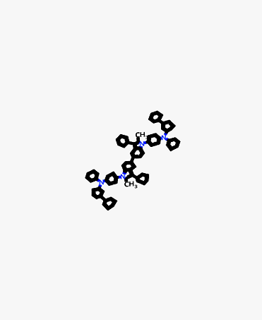 Cc1c(-c2ccccc2)c2cc(-c3ccc4c(c3)c(-c3ccccc3)c(C)n4-c3ccc(N(c4ccccc4)c4cccc(-c5ccccc5)c4)cc3)ccc2n1-c1ccc(N(c2ccccc2)c2cccc(-c3ccccc3)c2)cc1